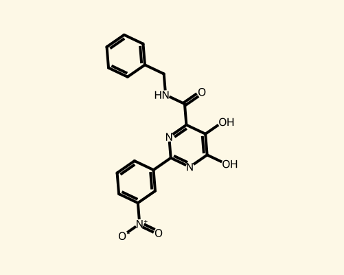 O=C(NCc1ccccc1)c1nc(-c2cccc([N+](=O)[O-])c2)nc(O)c1O